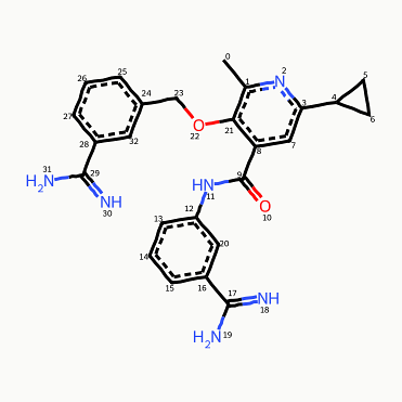 Cc1nc(C2CC2)cc(C(=O)Nc2cccc(C(=N)N)c2)c1OCc1cccc(C(=N)N)c1